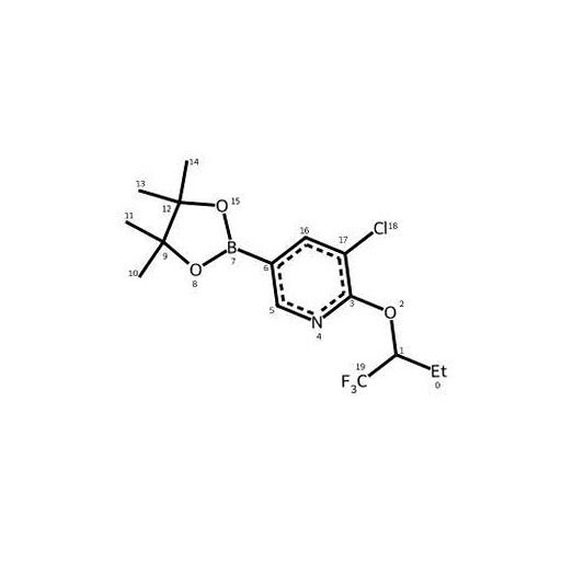 CCC(Oc1ncc(B2OC(C)(C)C(C)(C)O2)cc1Cl)C(F)(F)F